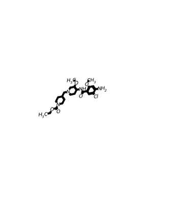 CCOC(=O)N1CCC(CN2CCC(NC(=O)c3cc(Cl)c(N)cc3OC)C(OC)C2)CC1